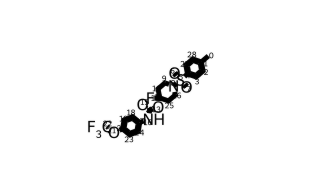 Cc1ccc(S(=O)(=O)N2CCC(F)(OC(=O)Nc3ccc(OC(F)(F)F)cc3)CC2)cc1